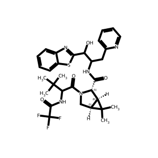 CC(C)(C)C(NC(=O)C(F)(F)F)C(=O)N1C[C@H]2[C@@H]([C@H]1C(=O)NC(Cc1ccccn1)C(O)c1nc3ccccc3s1)C2(C)C